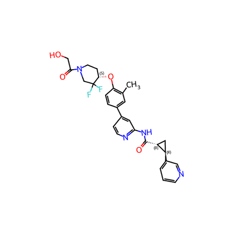 Cc1cc(-c2ccnc(NC(=O)[C@@H]3C[C@H]3c3cccnc3)c2)ccc1O[C@H]1CCN(C(=O)CO)CC1(F)F